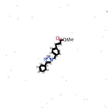 COC(=O)/C=C/c1ccc(Cn2cc(-c3ccccc3)nn2)cc1